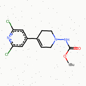 CC(C)(C)OC(=O)NN1CC=C(c2cc(Cl)nc(Cl)c2)CC1